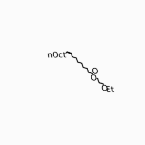 CCCCCCCC/C=C\CCCCCCCC(=O)OCCCOCC